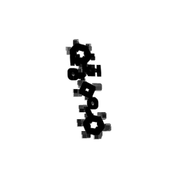 O=C(Nc1ccccn1)[C@H]1C[C@@H](OCc2ccccc2)C1